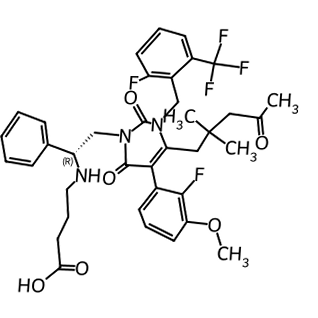 COc1cccc(-c2c(CC(C)(C)CC(C)=O)n(Cc3c(F)cccc3C(F)(F)F)c(=O)n(C[C@H](NCCCC(=O)O)c3ccccc3)c2=O)c1F